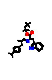 CC(/C=N/C(Cc1c[nH]c2ccccc12)C(=O)OC(C)(C)CC(C)(C)C)Cc1ccc(C(C)C)cc1